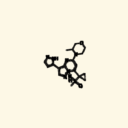 CC1COCCN1c1cc(C2(S(C)(=N)=O)CC2)n2ncc(-c3ccn[nH]3)c2n1